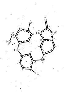 CC(=O)c1ccc(Nc2ncc(F)c(Nc3ccc4oc(=O)[nH]c4c3)n2)cc1.O=CO